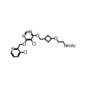 CC(=O)NCCOC1CC(COc2ncnc(OCc3ncccc3Cl)c2Cl)C1